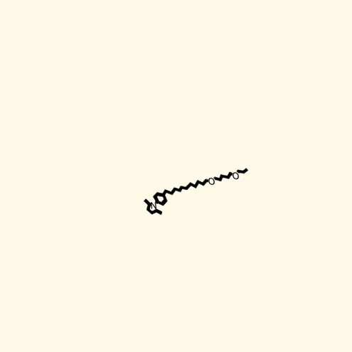 C=C1CCC(=C)N1c1ccc(CCCCCCCCCCCOCCCCCOCCC)cc1